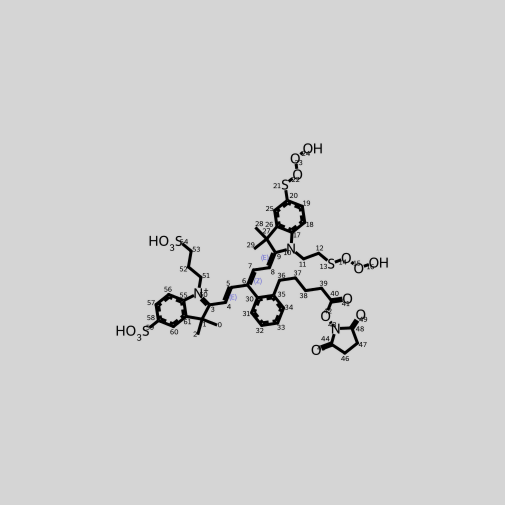 CC1(C)C(/C=C/C(=C/C=C2/N(CCSOOO)c3ccc(SOOO)cc3C2(C)C)c2ccccc2CCCCC(=O)ON2C(=O)CCC2=O)=[N+](CCCS(=O)(=O)O)c2ccc(S(=O)(=O)O)cc21